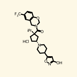 CC(C)[C@]1(C(=O)N2COc3ccc(C(F)(F)F)cc3C2)CC[C@@H](N2CCC(c3cc(O)no3)CC2)C1.Cl